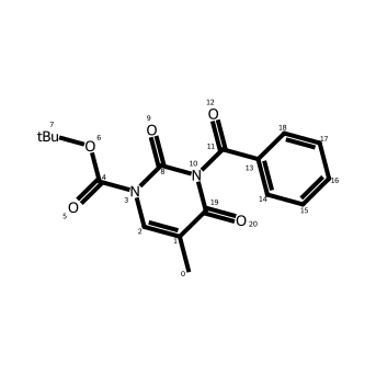 Cc1cn(C(=O)OC(C)(C)C)c(=O)n(C(=O)c2ccccc2)c1=O